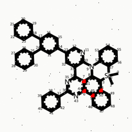 C[Si]1(C)c2ccccc2N(c2ncc(-c3ccc(-c4ccccc4)c(-c4ccccc4)c3)cc2-c2nc(-c3ccccc3)nc(-c3ccccc3)n2)c2ccccc21